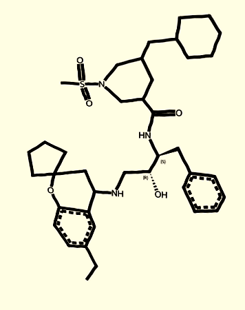 CCc1ccc2c(c1)C(NC[C@@H](O)[C@H](Cc1ccccc1)NC(=O)C1CC(CC3CCCCC3)CN(S(C)(=O)=O)C1)CC1(CCCC1)O2